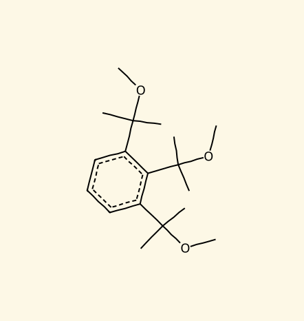 COC(C)(C)c1cccc(C(C)(C)OC)c1C(C)(C)OC